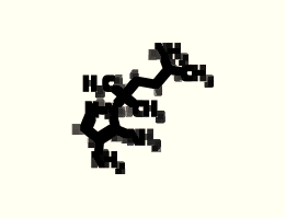 CC(N)CCC(C)(C)n1ncc(N)c1N